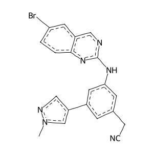 Cn1cc(-c2cc(CC#N)cc(Nc3ncc4cc(Br)ccc4n3)c2)cn1